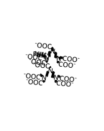 O=C([O-])CN(CCN(CC(=O)[O-])CC(=O)[O-])CCN(CC(=O)[O-])CC(=O)[O-].O=C([O-])CN(CCN(CC(=O)[O-])CC(=O)[O-])CCN(CC(=O)[O-])CC(=O)[O-].[Fe+3].[NH4+].[NH4+]